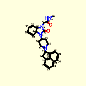 CNC(=O)CN1C(=O)N(C2CCN([C@@H]3Cc4cccc5cccc3c45)CC2)C2C=CC=CC21